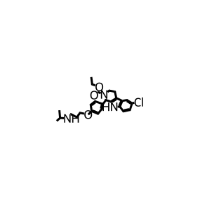 CCOC(=O)N1CCc2c([nH]c3ccc(Cl)cc23)C1c1ccc(OCCCNC(C)C)cc1